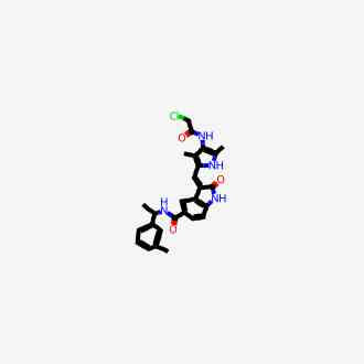 Cc1cccc(C(C)NC(=O)c2ccc3c(c2)C(=Cc2[nH]c(C)c(NC(=O)CCl)c2C)C(=O)N3)c1